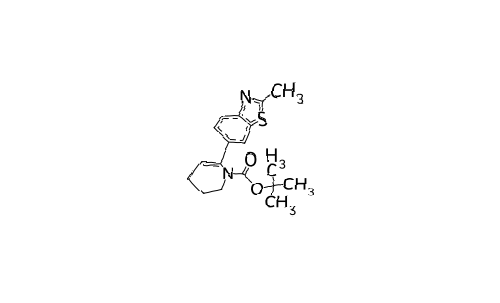 Cc1nc2ccc(C3=CCCCN3C(=O)OC(C)(C)C)cc2s1